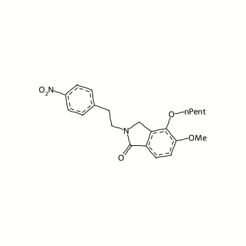 CCCCCOc1c(OC)ccc2c1CN(CCc1ccc([N+](=O)[O-])cc1)C2=O